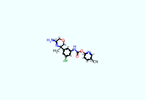 C[C@@]1(c2cc(Br)cc(NC(=O)Oc3ccc(C#N)cn3)c2)COCC(N)=N1